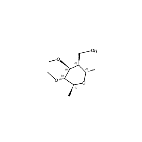 CO[C@@H]1[C@@H](OC)[C@@H](CO)[C@H](C)O[C@H]1C